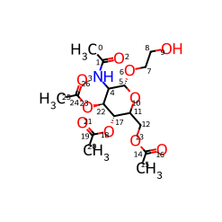 CC(=O)NC1[C@H](OCCO)OC(COC(C)=O)[C@H](OC(C)=O)[C@H]1OC(C)=O